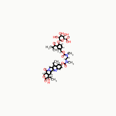 CCc1c2c(nc3ccc(OC(=O)N(C)CCN(C)C(=O)OCc4ccc(O[C@@H]5O[C@H](C(=O)O)[C@@H](O)[C@H](O)[C@H]5O)c(C(=O)C(C)C)c4)cc13)-c1cc3c(c(=O)n1C2)COC(=O)[C@]3(O)CC